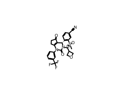 CS(=O)(=O)c1cc(C#N)ccc1[C@H]1C2=C(CCC2=O)N(c2cccc(C(F)(F)F)c2)C(=O)N1CC1COC1